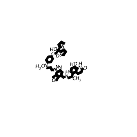 C[C@@H](CNCc1cc2nnn(CCCN(C)[C@H]3CC[C@H](OC(=O)C(O)(c4cccs4)c4cccs4)CC3)c2c2c1COC2)c1ccc(O)c2[nH]c(=O)ccc12